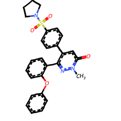 Cn1nc(-c2ccccc2Oc2ccccc2)c(-c2ccc(S(=O)(=O)N3CCCC3)cc2)cc1=O